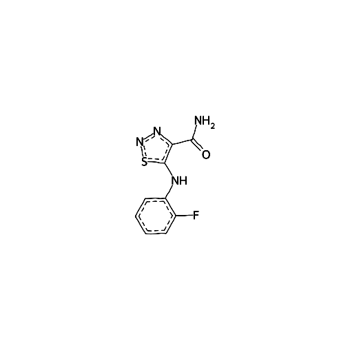 NC(=O)c1nnsc1Nc1ccccc1F